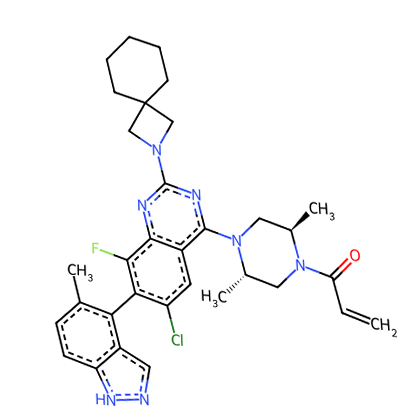 C=CC(=O)N1C[C@H](C)N(c2nc(N3CC4(CCCCC4)C3)nc3c(F)c(-c4c(C)ccc5[nH]ncc45)c(Cl)cc23)C[C@H]1C